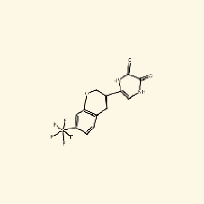 O=c1[nH]cc(C2COc3cc(S(F)(F)(F)(F)F)ccc3C2)[nH]c1=O